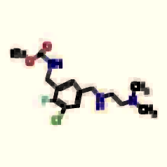 CN(C)CCNCc1cc(Cl)c(F)c(CNC(=O)OC(C)(C)C)c1